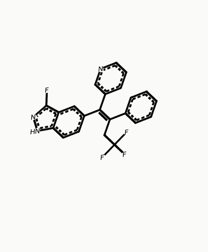 Fc1n[nH]c2ccc(/C(=C(\CC(F)(F)F)c3ccccc3)c3cccnc3)cc12